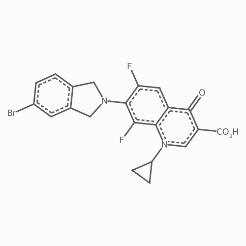 O=C(O)c1cn(C2CC2)c2c(F)c(N3Cc4ccc(Br)cc4C3)c(F)cc2c1=O